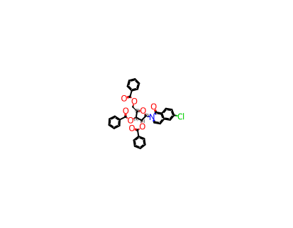 O=C(OC[C@H]1O[C@@H](n2ccc3cc(Cl)ccc3c2=O)[C@H](OC(=O)c2ccccc2)[C@H]1OC(=O)c1ccccc1)c1ccccc1